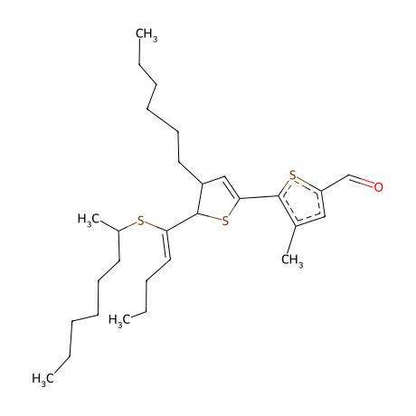 CCC/C=C(\SC(C)CCCCCC)C1SC(c2sc(C=O)cc2C)=CC1CCCCCC